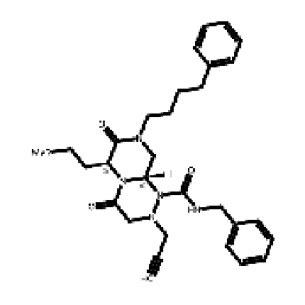 C#CCN1CC(=O)N2[C@@H](CCSC)C(=O)N(CCCCc3ccccc3)C[C@@H]2N1C(=O)NCc1ccccc1